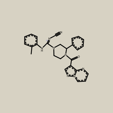 Cc1ccccc1N/C(=N/C#N)N1CCN(C(=O)c2cnn3cccnc23)C(c2ccccc2)C1